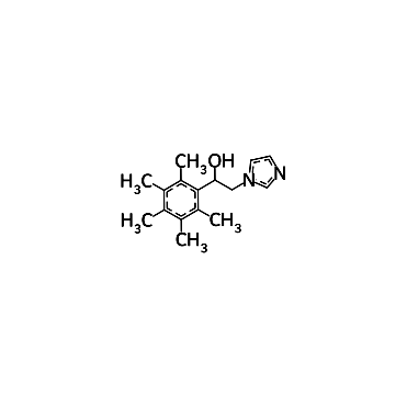 Cc1c(C)c(C)c(C(O)Cn2ccnc2)c(C)c1C